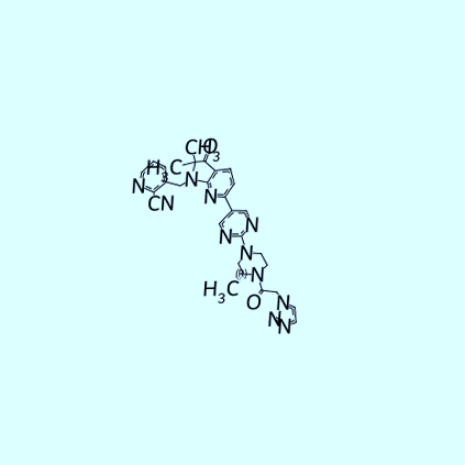 C[C@@H]1CN(c2ncc(-c3ccc4c(n3)N(Cc3cccnc3C#N)C(C)(C)C4=O)cn2)CCN1C(=O)Cn1ccnn1